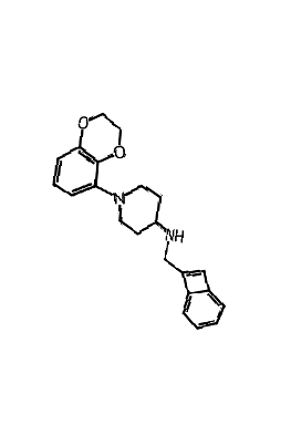 C1=C(CNC2CCN(c3cccc4c3OCCO4)CC2)c2ccccc21